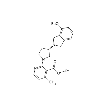 Cc1ccnc(N2CC[C@@H](N3Cc4cccc(OCC(C)C)c4C3)C2)c1C(=O)OC(C)C